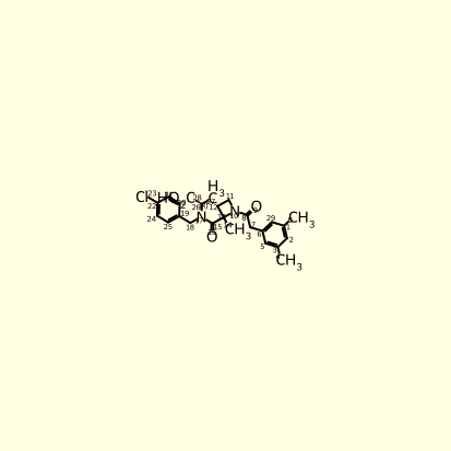 Cc1cc(C)cc(CC(=O)N2CCC2(C)C(=O)N(Cc2ccc(Cl)cc2)[C@H](C)C(=O)O)c1